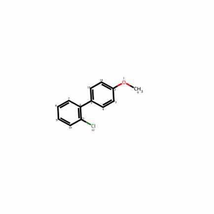 COc1ccc(-c2ccc[c]c2Cl)cc1